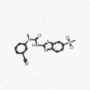 CN(C(=O)Nc1nc2ccc(S(C)(=O)=O)cc2s1)c1cccc(C#N)c1